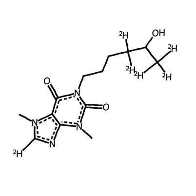 [2H]c1nc2c(c(=O)n(CCCC([2H])([2H])C(O)C([2H])([2H])[2H])c(=O)n2C)n1C